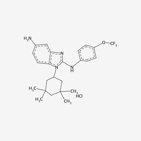 CC1(C)CC(n2c(Nc3ccc(OC(F)(F)F)cc3)nc3cc(N)ccc32)CC(C)(C)C1.Cl